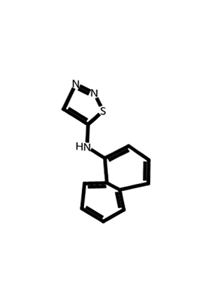 c1ccc2c(Nc3cnns3)cccc2c1